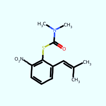 CC(C)=Cc1cccc([N+](=O)[O-])c1SC(=O)N(C)C